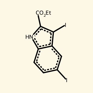 CCOC(=O)c1[nH]c2ccc(I)cc2c1I